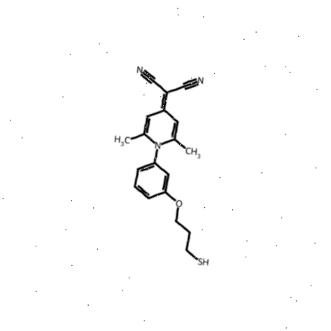 CC1=CC(=C(C#N)C#N)C=C(C)N1c1cccc(OCCCS)c1